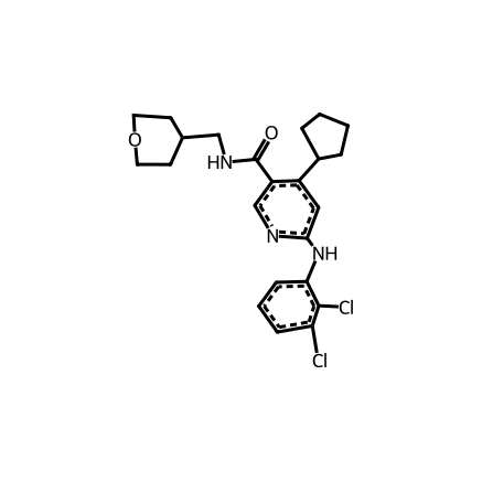 O=C(NCC1CCOCC1)c1cnc(Nc2cccc(Cl)c2Cl)cc1C1CCCC1